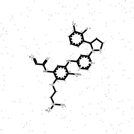 C=CC(=O)Nc1cc(Nc2cc(N3OCCC3c3cccc(C(F)(F)F)c3F)ncn2)c(OC)cc1OCCN(C)C